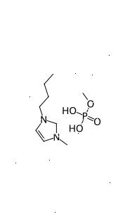 CCCCN1C=CN(C)C1.COP(=O)(O)O